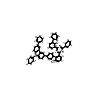 c1ccc(-c2ccc3c(c2)c2cc(-c4ccc5c(c4)oc4cccc(-c6nc(-c7ccccc7)nc(-c7cccc8c7sc7ccccc78)n6)c45)ccc2n3-c2ccccc2)cc1